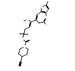 C#CC1CCN(C(=O)OC(C)(C)C/C=C(\OCC)C2=Cc3sc(Br)cc3N=C(N)C2)CC1